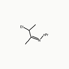 CCCN=C(C)C(C)CC